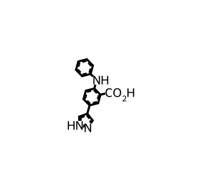 O=C(O)c1cc(-c2cn[nH]c2)ccc1Nc1ccccc1